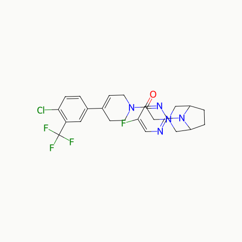 O=C(CN1CC2CCC(C1)N2c1ncc(F)cn1)N1CC=C(c2ccc(Cl)c(C(F)(F)F)c2)CC1